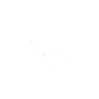 Cc1onc(NS(=O)(=O)c2ccccn2)c1Br